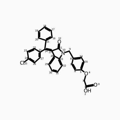 O=C(O)COc1ccc(CN2C(=O)/C(=C(\c3ccccc3)c3ccc(Cl)cc3)c3ccccc32)cc1